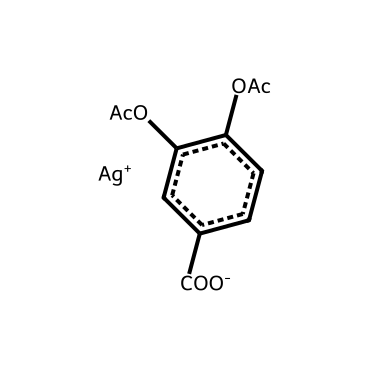 CC(=O)Oc1ccc(C(=O)[O-])cc1OC(C)=O.[Ag+]